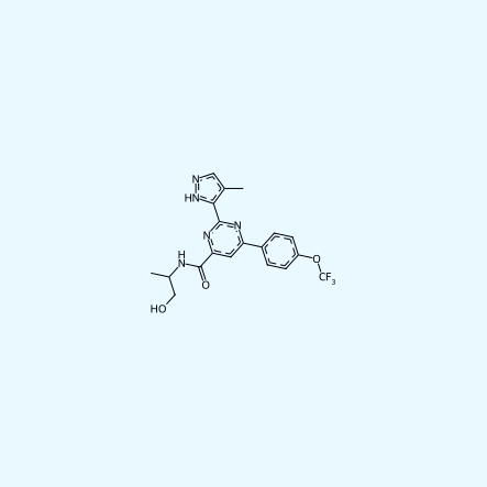 Cc1cn[nH]c1-c1nc(C(=O)NC(C)CO)cc(-c2ccc(OC(F)(F)F)cc2)n1